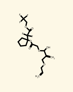 C=CCOCC(=C)C(O)OCC(=O)OC1(C(F)(F)C(=O)OCC(F)(F)F)CCCC1